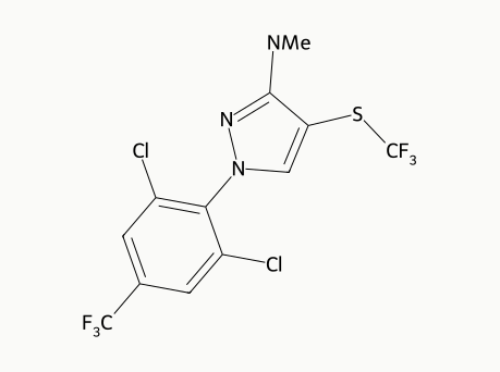 CNc1nn(-c2c(Cl)cc(C(F)(F)F)cc2Cl)cc1SC(F)(F)F